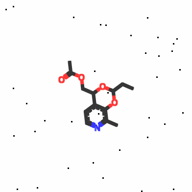 CCC1Oc2c(ccnc2C)C(COC(C)=O)O1